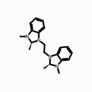 C[C@@H]1N(C)c2ccccc2N1CCN1c2ccccc2N(C)[C@@H]1C